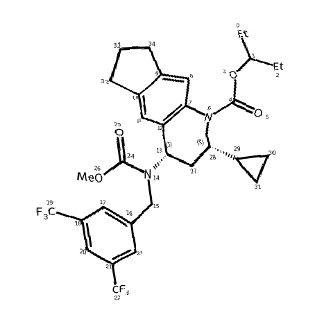 CCC(CC)OC(=O)N1c2cc3c(cc2[C@@H](N(Cc2cc(C(F)(F)F)cc(C(F)(F)F)c2)C(=O)OC)C[C@H]1C1CC1)CCC3